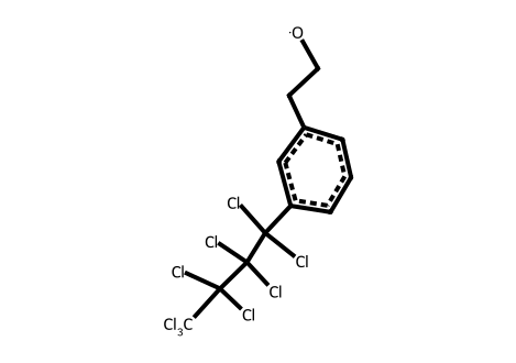 [O]CCc1cccc(C(Cl)(Cl)C(Cl)(Cl)C(Cl)(Cl)C(Cl)(Cl)Cl)c1